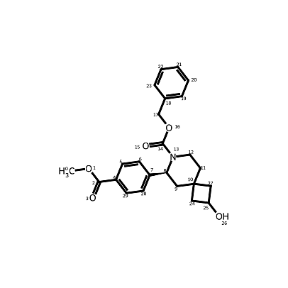 COC(=O)c1ccc([C@@H]2CC3(CCN2C(=O)OCc2ccccc2)CC(O)C3)cc1